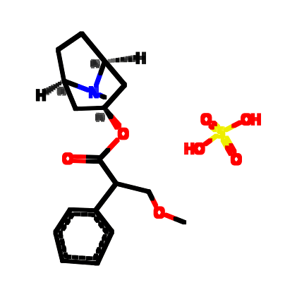 COCC(C(=O)O[C@H]1C[C@H]2CC[C@@H](C1)N2C)c1ccccc1.O=S(=O)(O)O